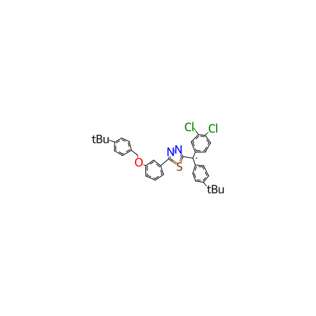 CC(C)(C)c1ccc(COc2cccc(-c3nnc([C](c4ccc(C(C)(C)C)cc4)c4ccc(Cl)c(Cl)c4)s3)c2)cc1